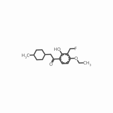 CCOc1ccc(C(=O)CC2CCC(C)CC2)c(O)c1CF